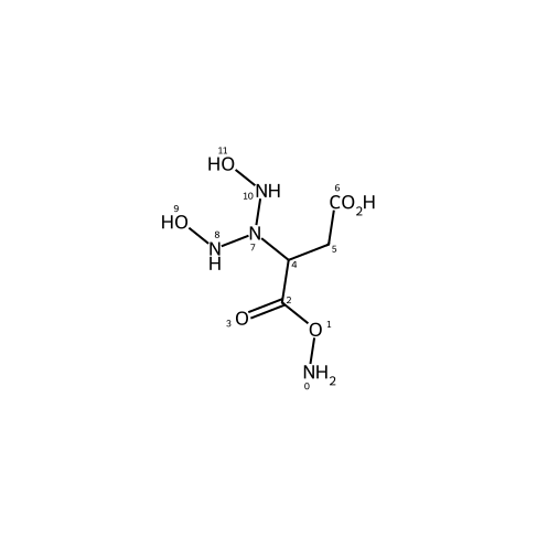 NOC(=O)C(CC(=O)O)N(NO)NO